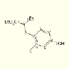 CCOC(=O)C(CC)Cc1ccc(O)cc1C